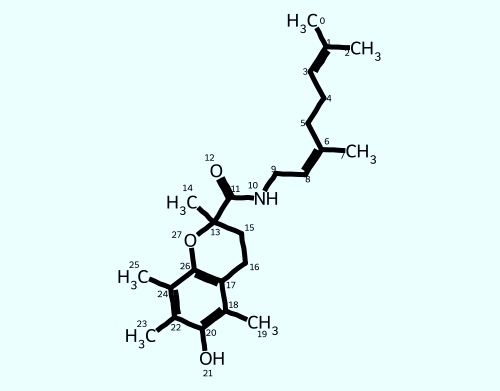 CC(C)=CCCC(C)=CCNC(=O)C1(C)CCc2c(C)c(O)c(C)c(C)c2O1